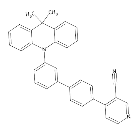 CC1(C)c2ccccc2N(c2cccc(-c3ccc(-c4ccncc4C#N)cc3)c2)c2ccccc21